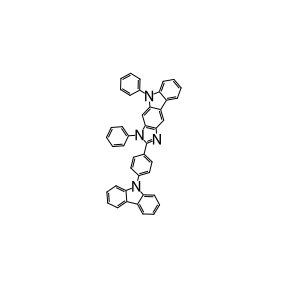 c1ccc(-n2c(-c3ccc(-n4c5ccccc5c5ccccc54)cc3)nc3cc4c5ccccc5n(-c5ccccc5)c4cc32)cc1